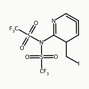 O=S(=O)(N(C1=NC=C=CC1CI)S(=O)(=O)C(F)(F)F)C(F)(F)F